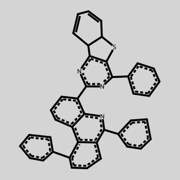 C1=CC2Sc3c(-c4ccccc4)nc(-c4cccc5c4nc(-c4ccccc4)c4cccc(-c6ccccc6)c45)nc3C2C=C1